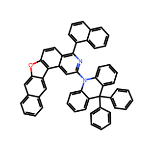 c1ccc(C2(c3ccccc3)c3ccccc3N(c3cc4c(ccc5oc6cc7ccccc7cc6c54)c(-c4cccc5ccccc45)n3)c3ccccc32)cc1